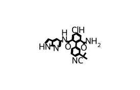 CC(C)(C#N)c1cccc(-c2c(C(N)=O)cccc2C(=O)Nc2cnc3[nH]ccc3c2)c1.Cl